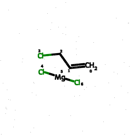 C=CCCl.[Cl][Mg][Cl]